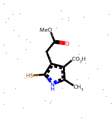 COC(=O)Cc1c(S)[nH]c(C)c1C(=O)O